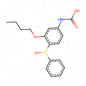 CCCCOc1cc(NC(=O)O)ccc1[S+]([O-])c1ccccc1